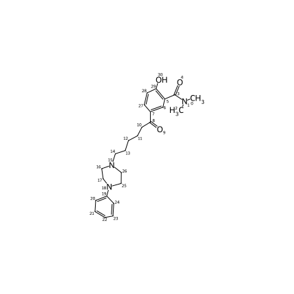 CN(C)C(=O)c1cc(C(=O)CCCCCN2CCN(c3ccccc3)CC2)ccc1O